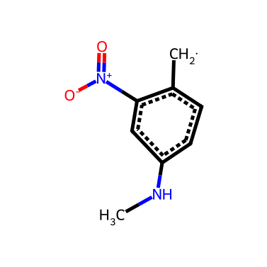 [CH2]c1ccc(NC)cc1[N+](=O)[O-]